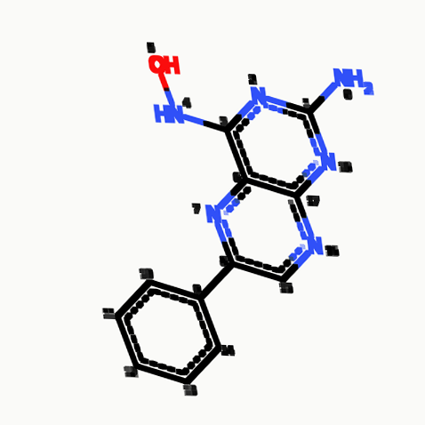 Nc1nc(NO)c2nc(-c3ccccc3)cnc2n1